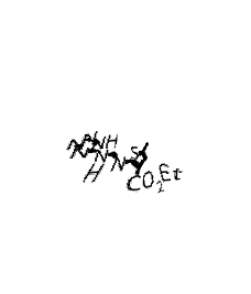 CCOC(=O)c1cc(C)sc1/N=C/Nc1nnn[nH]1